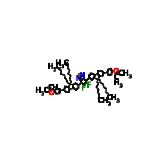 CCCCCCCCC1(CCCCCCCC)c2cc(-c3ccc(OC(C)C)cc3)ccc2-c2ccc(-c3c(F)c(F)c(-c4ccc5c(c4)C(CCCCCCCC)(CCCCCCCC)c4cc(-c6ccc(OC(C)C)cc6)ccc4-5)c4nsnc34)cc21